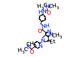 CC[C@@H]1CN(c2ccc(C(=O)N(C)C)cn2)Cc2c(C(=O)NCc3ccc(NC(=O)N(C)C)cc3)nn(C)c21